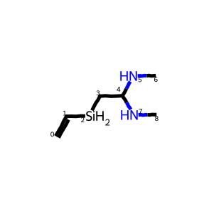 C=C[SiH2]CC(NC)NC